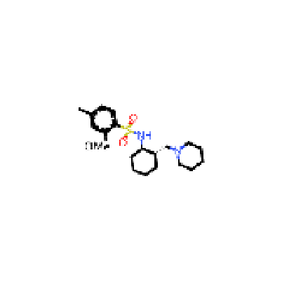 COc1cc(C)ccc1S(=O)(=O)N[C@@H]1CCCC[C@H]1CN1CCCCC1